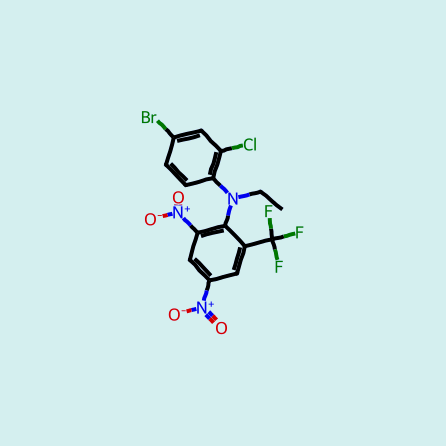 CCN(c1ccc(Br)cc1Cl)c1c([N+](=O)[O-])cc([N+](=O)[O-])cc1C(F)(F)F